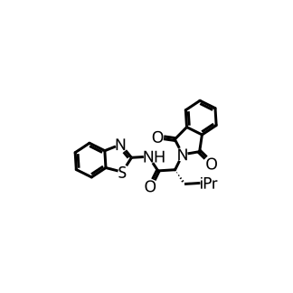 CC(C)C[C@H](C(=O)Nc1nc2ccccc2s1)N1C(=O)c2ccccc2C1=O